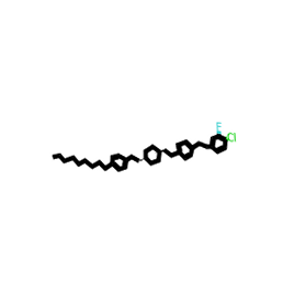 CCCCCCCCCc1ccc(CC[C@H]2CC[C@H](CCc3ccc(CCc4ccc(Cl)c(F)c4)cc3)CC2)cc1